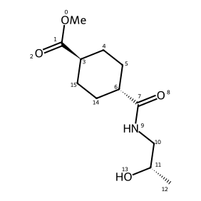 COC(=O)[C@H]1CC[C@H](C(=O)NC[C@H](C)O)CC1